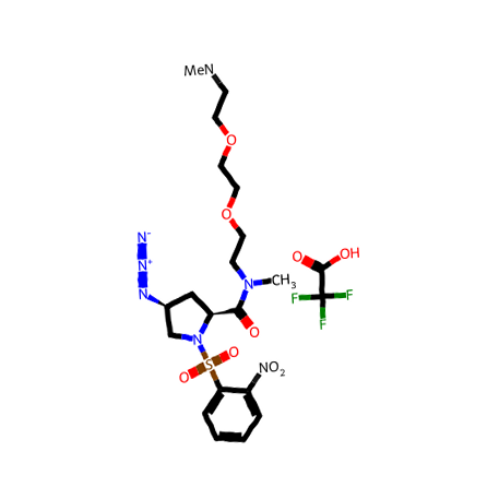 CNCCOCCOCCN(C)C(=O)[C@@H]1C[C@H](N=[N+]=[N-])CN1S(=O)(=O)c1ccccc1[N+](=O)[O-].O=C(O)C(F)(F)F